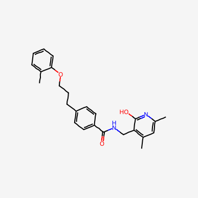 Cc1cc(C)c(CNC(=O)c2ccc(CCCOc3ccccc3C)cc2)c(O)n1